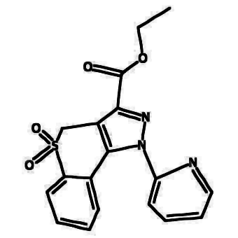 CCOC(=O)c1nn(-c2ccccn2)c2c1CS(=O)(=O)c1ccccc1-2